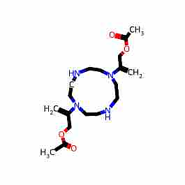 C=C(COC(C)=O)N1CCNCCN(C(=C)COC(C)=O)CCNCC1